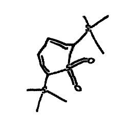 C[Si](C)(C)C1=CC=C([Si](C)(C)C)S1(=O)=O